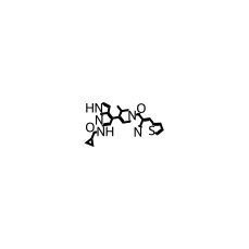 CC1CN(C(=O)C(C#N)=Cc2cccs2)CC=C1c1cc(NC(=O)C2CC2)nc2[nH]ccc12